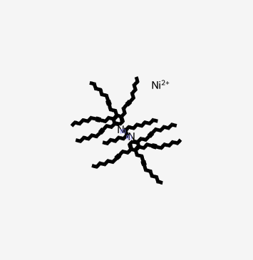 CCCCCCC#CCCc1cc(/N=C(CCCCCC)/C(CCCCCCCC)=N/c2cc(CCC#CCCCCCC)c(CCC#CCCCCCC)c(CCC#CCCCCCC)c2CCC#CCCCCCC)c(CCC#CCCCCCC)c(CCC#CCCCCCC)c1CCC#CCCCCCC.[Ni+2]